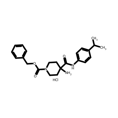 CC(C)c1ccc(NC(=O)C2(N)CCN(C(=O)OCc3ccccc3)CC2)cc1.Cl